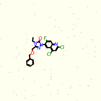 CCn1c(COCc2ccccc2)nn(-c2cc3c(Cl)cc(Cl)nc3cc2F)c1=O